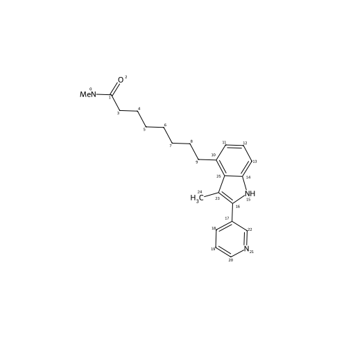 CNC(=O)CCCCCCCc1cccc2[nH]c(-c3cccnc3)c(C)c12